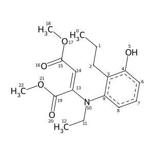 CCCc1c(O)cccc1N(CC)C(=CC(=O)OC)C(=O)OC